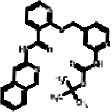 CC(C)(C)OC(=O)Nc1cc(CSc2ncccc2C(=O)Nc2cc3ccccc3cn2)ccn1